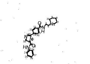 O=C(NCCN1CCCCC1)c1ccc(-c2cncc(C(=O)Nc3ccccc3)n2)cc1